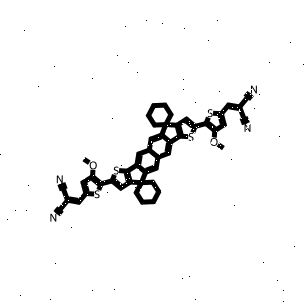 COc1cc(C=C(C#N)C#N)sc1-c1cc2c(s1)C1=CC3C=C4C(=CC3C=C1C21CCCCC1)c1sc(-c2sc(C=C(C#N)C#N)cc2OC)cc1C41CCCCC1